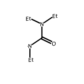 CC[N]C(=O)N(CC)CC